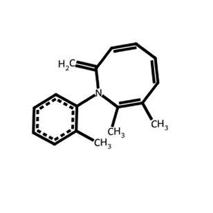 C=C1\C=C/C=C\C(C)=C(\C)N1c1ccccc1C